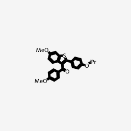 COc1ccc(C(=O)c2c(-c3ccc(OC(C)C)cc3)sc3cc(OC)ccc23)cc1